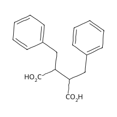 O=C(O)C(Cc1ccccc1)C(Cc1ccccc1)C(=O)O